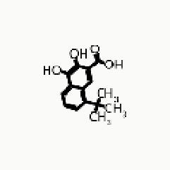 CC(C)(C)c1cccc2c(O)c(O)c(C(=O)O)cc12